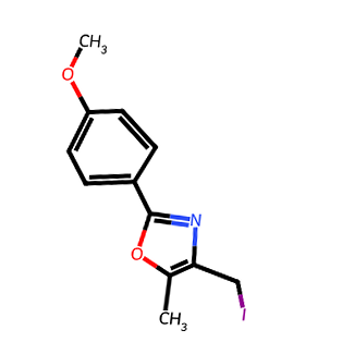 COc1ccc(-c2nc(CI)c(C)o2)cc1